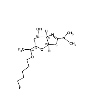 CN(C)C1=N[C@H]2[C@H](O[C@H]([C@@H](OCCCCCF)C(F)(F)F)C[C@@H]2O)S1